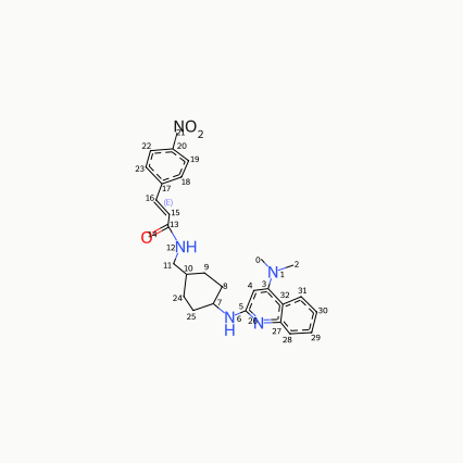 CN(C)c1cc(NC2CCC(CNC(=O)/C=C/c3ccc([N+](=O)[O-])cc3)CC2)nc2ccccc12